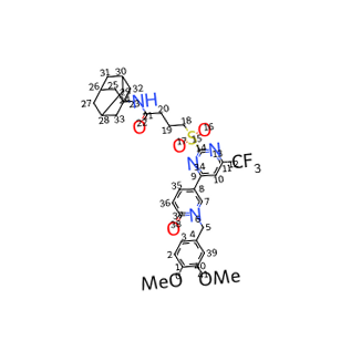 COc1ccc(Cn2cc(-c3cc(C(F)(F)F)nc(S(=O)(=O)CCCC(=O)NC45CC6CC(CC(C6)C4)C5)n3)ccc2=O)cc1OC